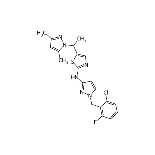 Cc1cc(C)n(C(C)c2cnc(Nc3ccn(Cc4c(F)cccc4Cl)n3)s2)n1